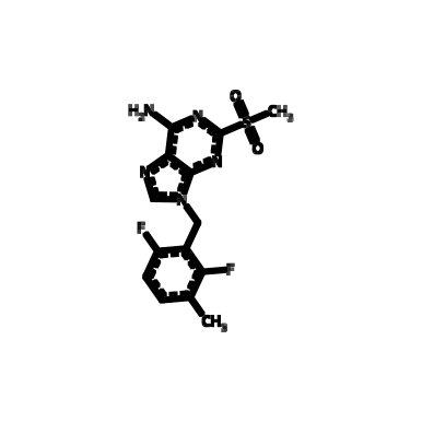 Cc1ccc(F)c(Cn2cnc3c(N)nc(S(C)(=O)=O)nc32)c1F